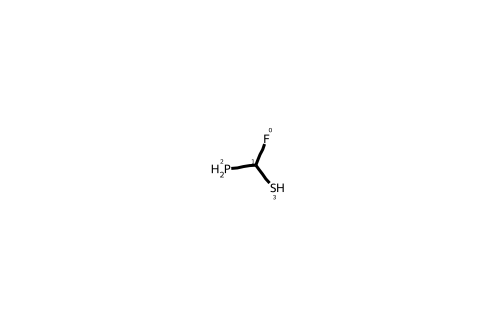 FC(P)S